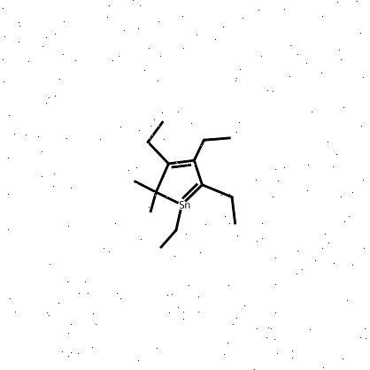 CCC1=C(CC)[C](C)(C)[Sn]([CH2]C)=[C]1CC